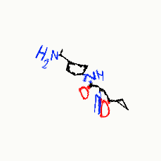 CC(N)c1ccc(NC(=O)c2cc(C3CC3)on2)cc1